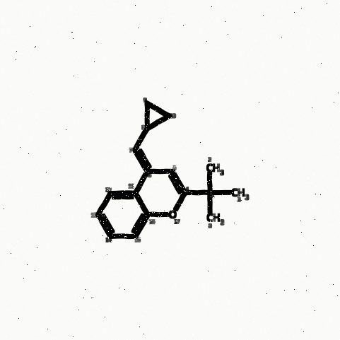 CC(C)(C)C1=C/C(=C\C2CC2)c2ccccc2O1